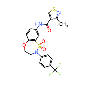 Cc1nscc1C(=O)Nc1ccc2c(c1)S(=O)(=O)N(c1ccc(C(F)(F)F)cc1)CCO2